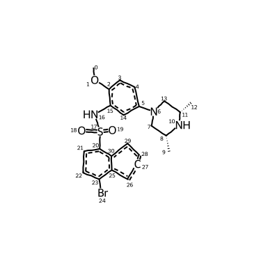 COc1ccc(N2C[C@@H](C)N[C@@H](C)C2)cc1NS(=O)(=O)c1ccc(Br)c2ccccc12